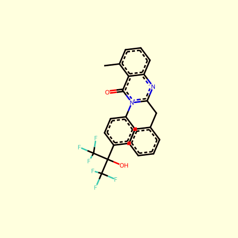 Cc1cccc2nc(Cc3ccccc3)n(-c3ccc(C(O)(C(F)(F)F)C(F)(F)F)cc3)c(=O)c12